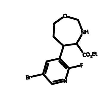 CCOC(=O)C1NCOCCC1c1cc(Br)cnc1F